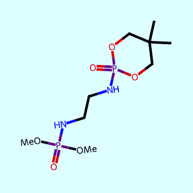 COP(=O)(NCCNP1(=O)OCC(C)(C)CO1)OC